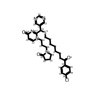 O=C(CCCCCCCSC(c1cncnc1)c1nc(=O)ccn1CCCN1CCCC1=O)c1ccc(Cl)cc1